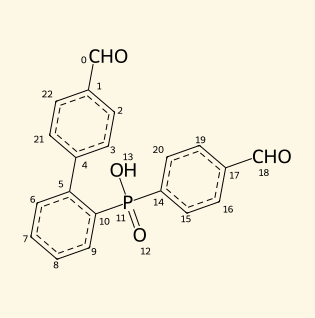 O=Cc1ccc(-c2ccccc2P(=O)(O)c2ccc(C=O)cc2)cc1